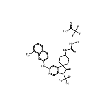 O=C(O)C(F)(F)F.[2H]C([2H])([2H])N1C(=O)C2(CCC(NC(=O)NCC)CC2)c2cc(Nc3ccc4cccc(C(F)(F)F)c4n3)ncc21